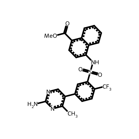 COC(=O)c1ccc(NS(=O)(=O)c2cc(-c3cnc(N)nc3C)ccc2C(F)(F)F)c2ccccc12